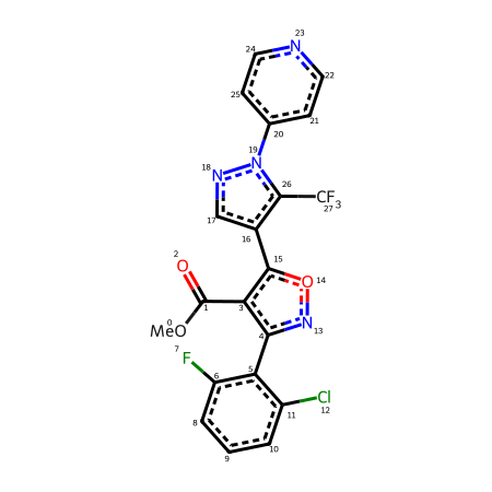 COC(=O)c1c(-c2c(F)cccc2Cl)noc1-c1cnn(-c2ccncc2)c1C(F)(F)F